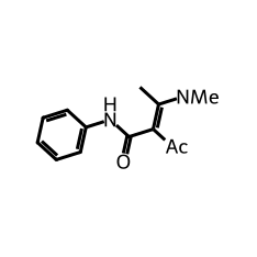 CNC(C)=C(C(C)=O)C(=O)Nc1ccccc1